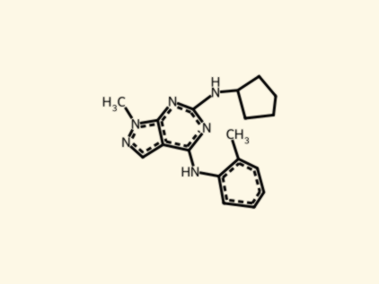 Cc1ccccc1Nc1nc(NC2CCCC2)nc2c1cnn2C